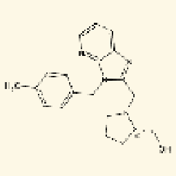 Cc1ccc(Cn2c(CN3CCC[C@H]3CO)nc3cccnc32)cc1